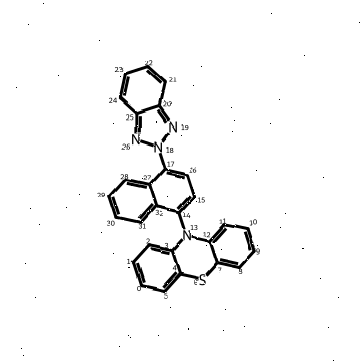 c1ccc2c(c1)Sc1ccccc1N2c1ccc(-n2nc3ccccc3n2)c2ccccc12